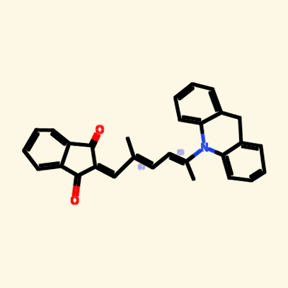 C/C(C=C1C(=O)c2ccccc2C1=O)=C\C=C(/C)N1c2ccccc2Cc2ccccc21